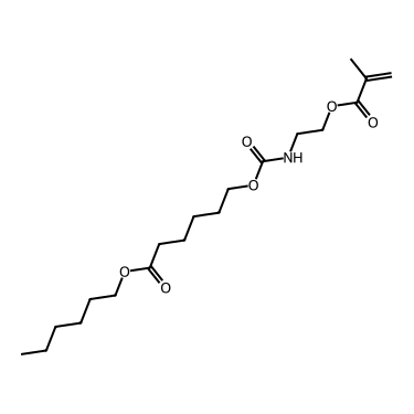 C=C(C)C(=O)OCCNC(=O)OCCCCCC(=O)OCCCCCC